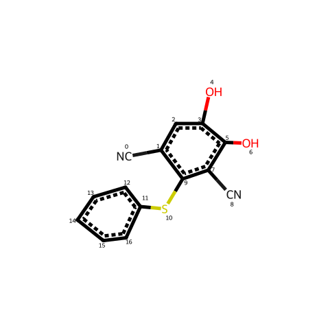 N#Cc1cc(O)c(O)c(C#N)c1Sc1ccccc1